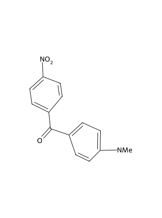 CNc1ccc(C(=O)c2ccc([N+](=O)[O-])cc2)cc1